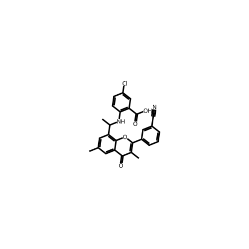 Cc1cc(C(C)Nc2ccc(Cl)cc2C(=O)O)c2oc(-c3cccc(C#N)c3)c(C)c(=O)c2c1